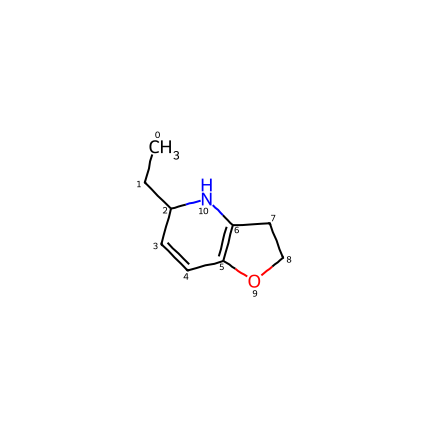 CCC1C=CC2=C(CCO2)N1